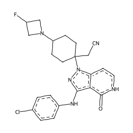 N#CCC1(n2nc(Nc3ccc(Cl)cc3)c3c(=O)[nH]ccc32)CCC(N2CC(F)C2)CC1